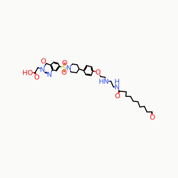 O=CCCCCCCCCC(=O)NCCNCCOc1ccc(C2CCN(S(=O)(=O)c3ccc4c(=O)n(CC(=O)O)cnc4c3)CC2)cc1